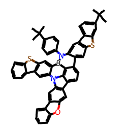 CC(C)(C)c1ccc(N2B3c4cc5sc6ccccc6c5cc4-n4c5cc6c(cc5c5ccc(c3c54)-c3cc4sc5cc(C(C)(C)C)ccc5c4cc32)oc2ccccc26)cc1